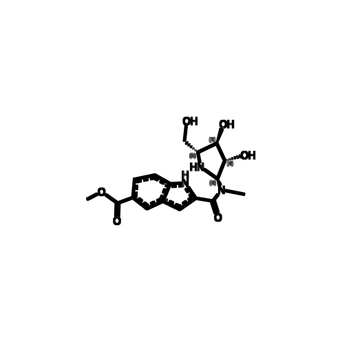 COC(=O)c1ccc2[nH]c(C(=O)N(C)[C@H]3N[C@H](CO)[C@@H](O)[C@@H]3O)cc2c1